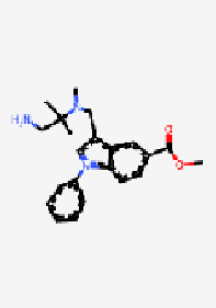 COC(=O)c1ccc2c(c1)c(CN(C)C(C)(C)CN)cn2-c1ccccc1